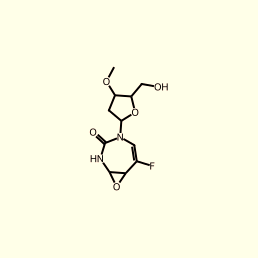 COC1CC(N2C=C(F)C3OC3NC2=O)OC1CO